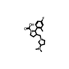 Cc1cc(F)ccc1C1C(CN2CCC(N(C)C)C2)CCN1C(=O)O